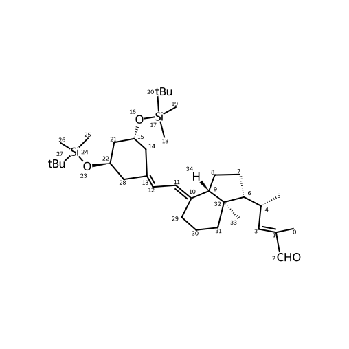 C/C(C=O)=C\[C@@H](C)[C@H]1CC[C@H]2/C(=C/C=C3C[C@@H](O[Si](C)(C)C(C)(C)C)C[C@H](O[Si](C)(C)C(C)(C)C)C3)CCC[C@]12C